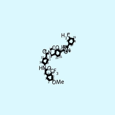 COc1ccc(CC(=O)Nc2ccc(C(=O)N(CC(=O)O)Cc3ccc(-c4nc(-c5cccc(C)c5)no4)cc3)cc2)c(C(F)(F)F)c1